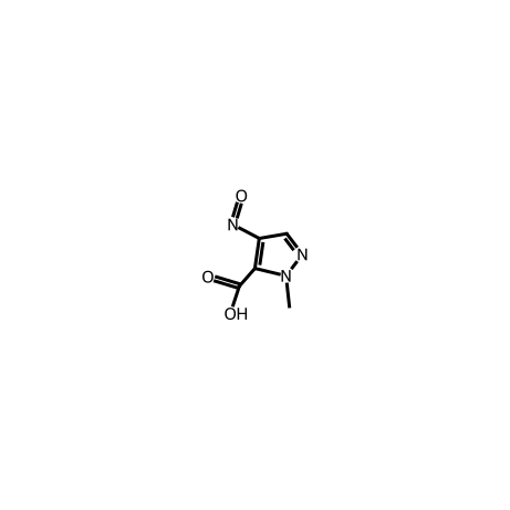 Cn1ncc(N=O)c1C(=O)O